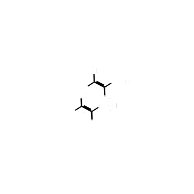 CCC/C(O)=C(/C)C(=O)O.CCCC/C(O)=C(/C)C(=O)O